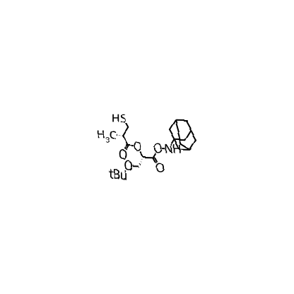 C[C@H](CS)C(=O)O[C@@H](COC(C)(C)C)C(=O)ONC12CC3CC(CC(C3)C1)C2